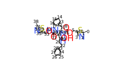 Cc1ncc(COC(=O)NC(Cc2ccccc2)(CC(O)CCc2ccccc2)NC(=O)OCc2cnc(C)s2)s1